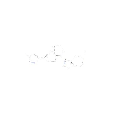 CC(=O)N1CCc2[nH]nc(N3CC[C@@H](C)c4cc(-c5cnn(C)c5)ccc43)c2C1